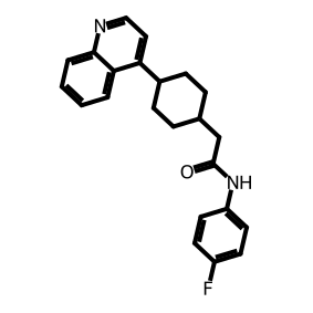 O=C(CC1CCC(c2ccnc3ccccc23)CC1)Nc1ccc(F)cc1